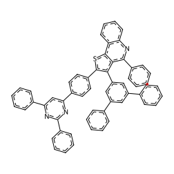 c1ccc(-c2cc(-c3ccccc3)cc(-c3c(-c4ccc(-c5cc(-c6ccccc6)nc(-c6ccccc6)n5)cc4)sc4c3c(-c3ccccc3)nc3ccccc34)c2)cc1